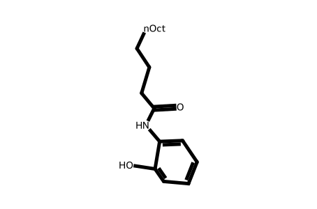 CCCCCCCCCCCC(=O)Nc1ccccc1O